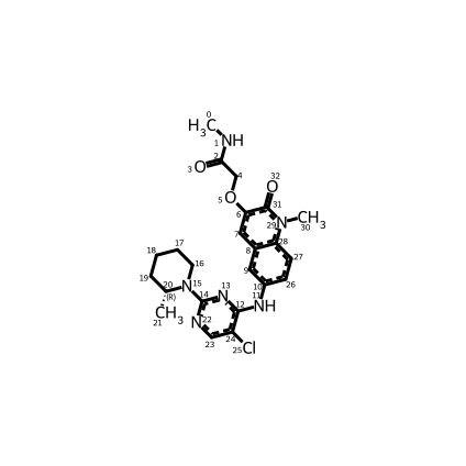 CNC(=O)COc1cc2cc(Nc3nc(N4CCCC[C@H]4C)ncc3Cl)ccc2n(C)c1=O